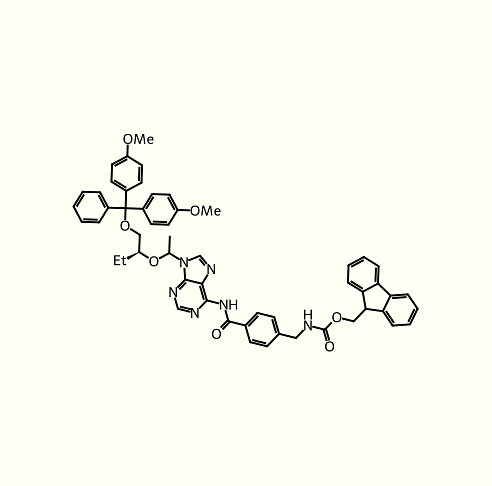 CC[C@@H](COC(c1ccccc1)(c1ccc(OC)cc1)c1ccc(OC)cc1)OC(C)n1cnc2c(NC(=O)c3ccc(CNC(=O)OCC4c5ccccc5-c5ccccc54)cc3)ncnc21